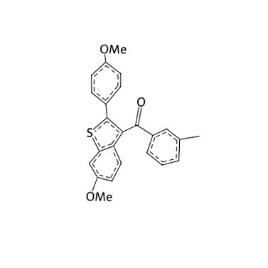 COc1ccc(-c2sc3cc(OC)ccc3c2C(=O)c2cccc(C)c2)cc1